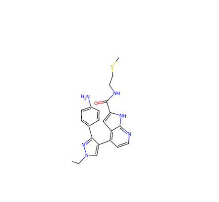 CCn1cc(-c2ccnc3[nH]c(C(=O)NCCSC)cc23)c(-c2ccc(N)cc2)n1